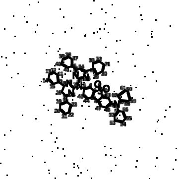 O=S1(=O)c2cc(N(C3=NC(c4ccccc4)CC(c4ccccc4)=N3)c3nc(-c4ccccc4)cc(-c4ccccc4)n3)ccc2-c2ccc(N(c3ccccc3)c3ccccc3)cc21